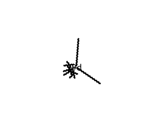 CCCCCC1=C(c2cc(CCC)c(CCC)c(CCC)c2)[N+](=[N-])C(c2cc(CCC)c(CCC)c(CCC)c2)=C1CCCC.CCCCCCCCCCCCCCCCCCCCC[CH2][Pd][CH2]CCCCCCCCCCCCCCCCCCCCC